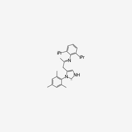 CC(CC1=CN[C]N1c1c(C)cc(C)cc1C)=Nc1c(C(C)C)cccc1C(C)C